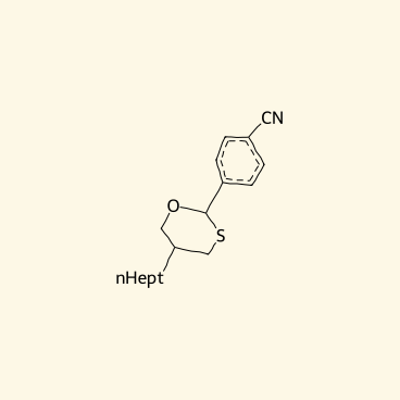 CCCCCCCC1COC(c2ccc(C#N)cc2)SC1